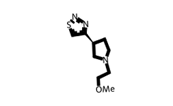 COCCN1CC[C@H](c2csnn2)C1